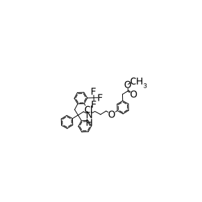 COC(=O)Cc1cccc(OCCCNCC(Cc2cccc(C(F)(F)F)c2Cl)(c2ccccc2)c2ccccc2)c1